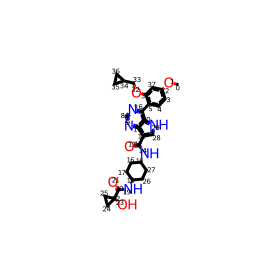 COc1ccc(-c2ncnc3c(C(=O)N[C@H]4CC[C@H](NC(=O)C5(O)CC5)CC4)c[nH]c23)c(OCC2CC2)c1